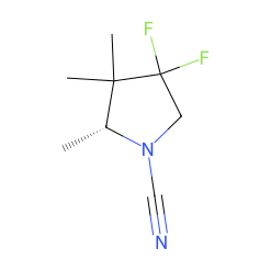 C[C@H]1N(C#N)CC(F)(F)C1(C)C